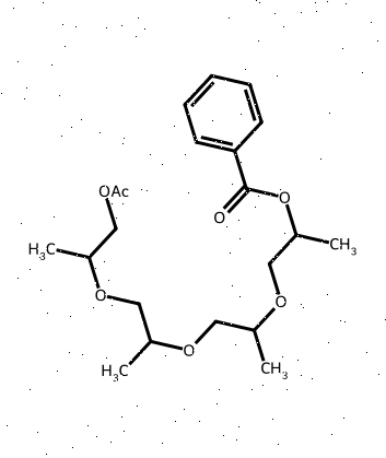 CC(=O)OCC(C)OCC(C)OCC(C)OCC(C)OC(=O)c1ccccc1